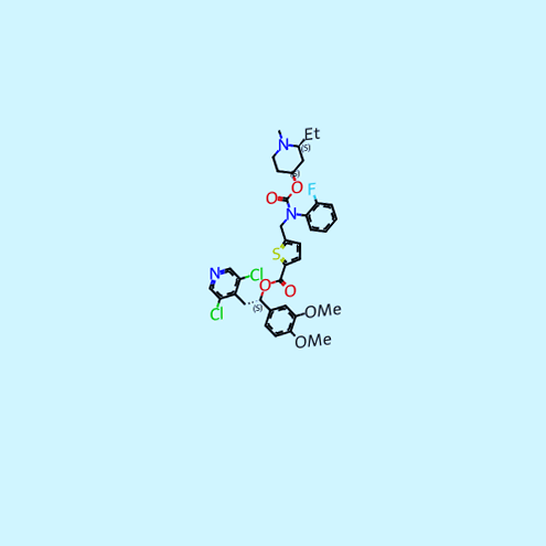 CC[C@H]1C[C@@H](OC(=O)N(Cc2ccc(C(=O)O[C@@H](Cc3c(Cl)cncc3Cl)c3ccc(OC)c(OC)c3)s2)c2ccccc2F)CCN1C